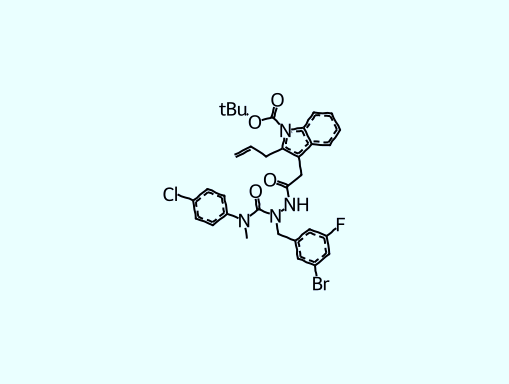 C=CCc1c(CC(=O)NN(Cc2cc(F)cc(Br)c2)C(=O)N(C)c2ccc(Cl)cc2)c2ccccc2n1C(=O)OC(C)(C)C